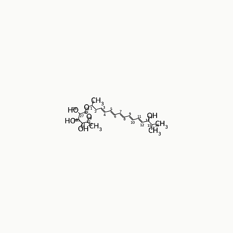 CC(C/C=C/C=C/C=C/C=C/C=C/C(O)C(C)C)OC1OC(C)C(O)C(O)C1O